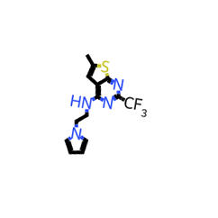 Cc1cc2c(NCCn3cccc3)nc(C(F)(F)F)nc2s1